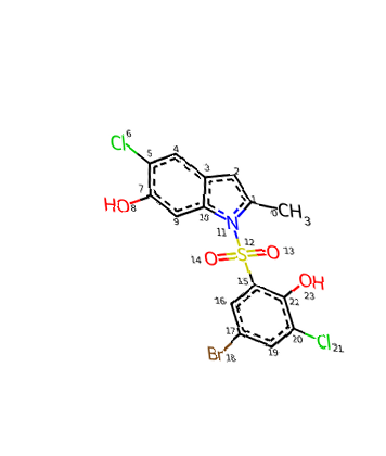 Cc1cc2cc(Cl)c(O)cc2n1S(=O)(=O)c1cc(Br)cc(Cl)c1O